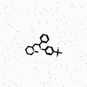 CN1CCCCC1CC(Oc1ccc(C(F)(F)F)cc1)c1ccccc1